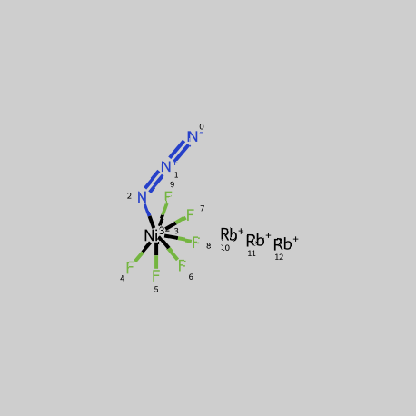 [N-]=[N+]=[N][Ni-3]([F])([F])([F])([F])([F])[F].[Rb+].[Rb+].[Rb+]